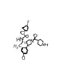 CC(NC(=O)Oc1ccc(F)cc1)[C@@H]1CN(C(=O)C2CCNCC2)C[C@H]1c1ccc(Cl)cc1